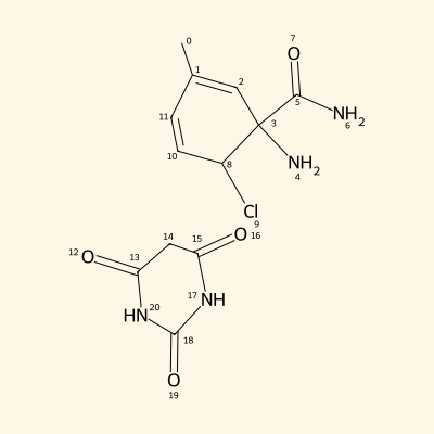 CC1=CC(N)(C(N)=O)C(Cl)C=C1.O=C1CC(=O)NC(=O)N1